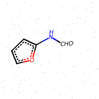 O=[C]Nc1ccco1